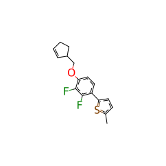 Cc1ccc(-c2ccc(OCC3C=CCC3)c(F)c2F)s1